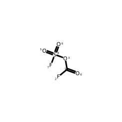 O=C(F)OS(=O)(=O)F